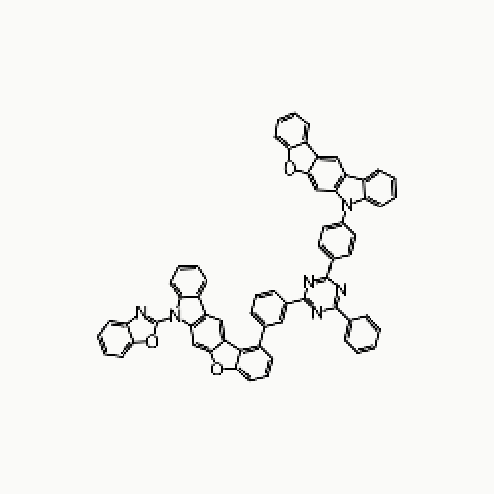 c1ccc(-c2nc(-c3ccc(-n4c5ccccc5c5cc6c(cc54)oc4ccccc46)cc3)nc(-c3cccc(-c4cccc5oc6cc7c(cc6c45)c4ccccc4n7-c4nc5ccccc5o4)c3)n2)cc1